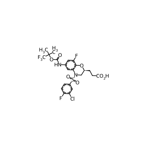 CC(C)(OC(=O)Nc1cc(F)c2c(c1)N(S(=O)(=O)c1ccc(F)c(Cl)c1)C[C@H](CCC(=O)O)O2)C(F)(F)F